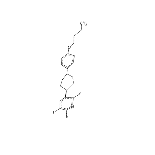 CCCCOc1ccc([C@H]2CC[C@H](c3cc(F)c(F)nc3F)CC2)cc1